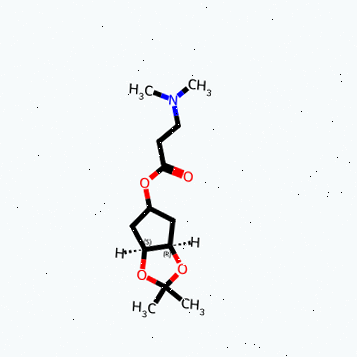 CN(C)CCC(=O)OC1C[C@@H]2OC(C)(C)O[C@@H]2C1